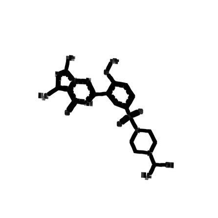 CCCOc1ccc(S(=O)(=O)N2CCN(C(C)O)CC2)cc1-c1nn2c(CCC)nc(C)c2c(=O)[nH]1